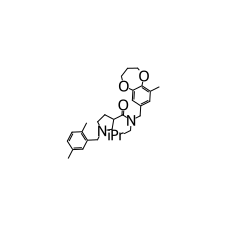 Cc1ccc(C)c(CN2CCC(C(=O)N(Cc3cc(C)c4c(c3)OCCCO4)CC(C)C)C2)c1